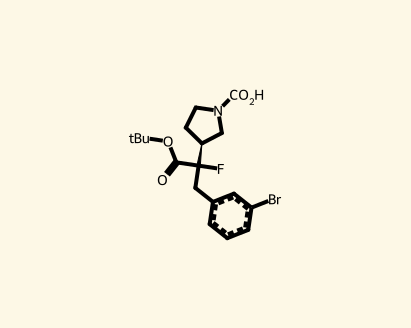 CC(C)(C)OC(=O)C(F)(Cc1cccc(Br)c1)[C@H]1CCN(C(=O)O)C1